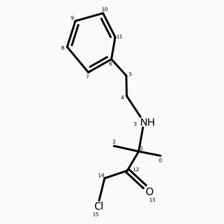 CC(C)(NCCc1ccccc1)C(=O)CCl